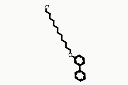 ClCCCCCCCCCCCCOc1cccc(-c2ccccc2)c1